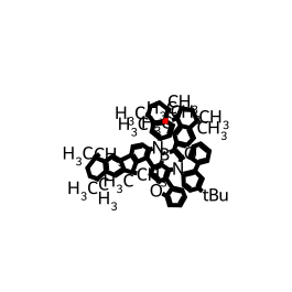 CC(C)(C)c1ccc(N2c3oc4cc5c(cc4c3B3c4c(cc6oc7ccccc7c6c42)-c2c(ccc4c2C(C)(C)c2cc6c(cc2-4)C(C)(C)CCC6(C)C)N3c2ccc3c(c2)C(C)(C)CCC3(C)C)C(C)(C)CCC5(C)C)c(-c2ccccc2)c1